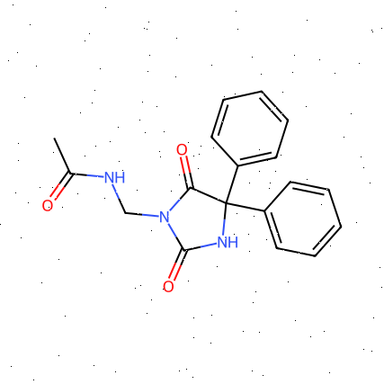 CC(=O)NCN1C(=O)NC(c2ccccc2)(c2ccccc2)C1=O